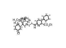 CCOC(=O)c1nc(NCCN(C[C@H](O[Si](C)(C)C(C)(C)C)c2cccc(Cl)c2)C(=O)OC(C)(C)C)ccc1-c1ccccc1